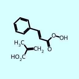 C=C(C)C(=O)O.O=C(C=Cc1ccccc1)OO